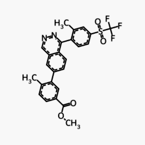 COC(=O)c1ccc(C)c(-c2ccc3c(-c4ccc(S(=O)(=O)C(F)(F)F)cc4C)nncc3c2)c1